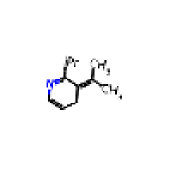 CC(C)=C1CC=CN=C1C(C)C